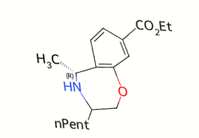 CCCCCC1COc2cc(C(=O)OCC)ccc2[C@@H](C)N1